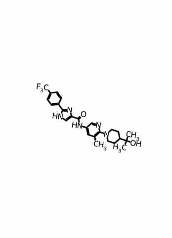 Cc1cc(NC(=O)c2c[nH]c(-c3ccc(C(F)(F)F)cc3)n2)cnc1N1CCC(C(C)(C)O)CC1